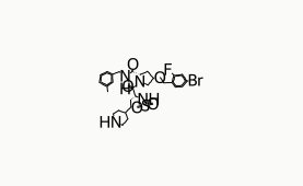 Cc1cccc(CNC(=O)[C@@H]2C[C@@H](OCc3ccc(Br)cc3F)CN2C(=O)[C@@H](CCC2CCNCC2)NS(C)(=O)=O)c1